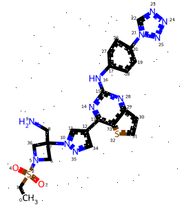 CCS(=O)(=O)N1CC(CN)(n2cc(-c3nc(Nc4ccc(-n5cnnn5)cc4)nc4ccsc34)cn2)C1